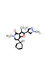 CCC1(c2cn(C)c(=O)c3c(C(=O)O)c(-c4cnn(C)c4)oc23)C=CC=CC1